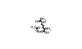 CC(=O)[O-].N=C(N)NCCC[C@H](N)C(=O)O.[Na+]